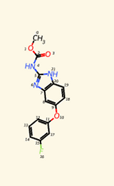 COC(=O)Nc1nc2cc(Oc3cccc(F)c3)ccc2[nH]1